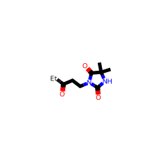 CCC(=O)CCN1C(=O)NC(C)(C)C1=O